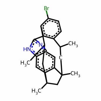 CC1CC2(C)CC3(C)CC(C)c4c(Br)ccc1c4-c1nc4cc2c3cc4[nH]1